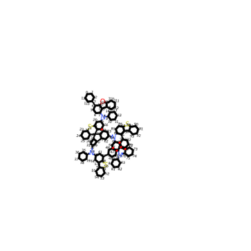 c1ccc(-c2ccc(N(c3ccccc3)c3ccc4c(c3)Sc3ccccc3C43c4ccc(N(c5ccccc5)c5cc(-c6ccccc6)c6sc7ccccc7c6c5)cc4-c4cc(N(c5ccc6c(c5)c5ccccc5n6-c5ccccc5)c5ccc6sc7ccccc7c6c5-c5ccccc5)ccc43)c3c2oc2ccccc23)cc1